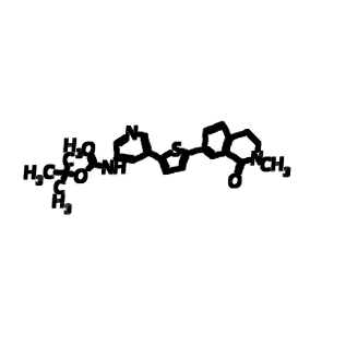 CN1CCc2ccc(-c3ccc(-c4cncc(NC(=O)OC(C)(C)C)c4)s3)cc2C1=O